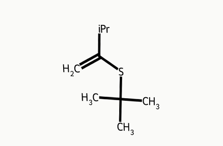 C=C(SC(C)(C)C)C(C)C